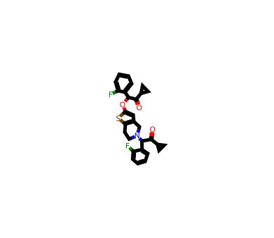 O=C(C1CC1)C(Oc1cc2c(s1)CCN(C(C(=O)C1CC1)c1ccccc1F)C2)c1ccccc1F